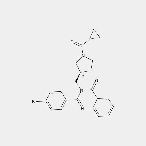 O=C(C1CC1)N1CC[C@@H](Cn2c(-c3ccc(Br)cc3)nc3ccccc3c2=O)C1